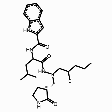 CCCC(Cl)CN(C[C@H]1CCNC1=O)NC(=O)C(CC(C)C)NC(=O)c1cc2ccccc2[nH]1